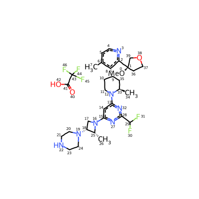 CO[C@]1(c2nccc(C)c2[C@H]2CCN(c3cc(N4C[C@@H](N5CCNCC5)[C@H]4C)nc(C(F)F)n3)[C@H](C)C2)CCOC1.O=C(O)C(F)(F)F